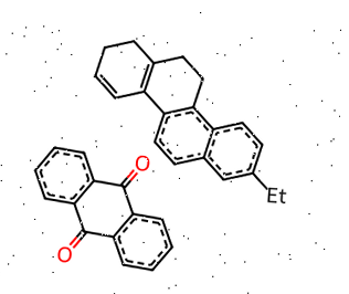 CCc1ccc2c3c(ccc2c1)C1=C(CCC=C1)CC3.O=C1c2ccccc2C(=O)c2ccccc21